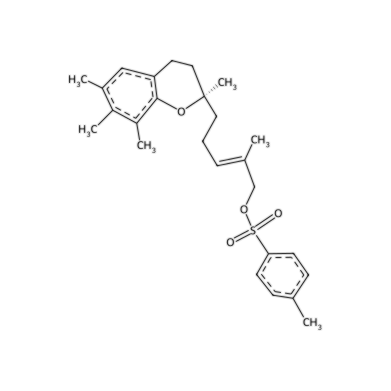 C/C(=C\CC[C@]1(C)CCc2cc(C)c(C)c(C)c2O1)COS(=O)(=O)c1ccc(C)cc1